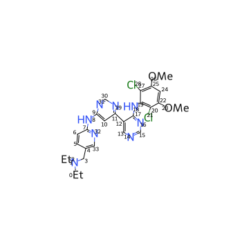 CCN(CC)Cc1ccc(Nc2cc(-c3cncnc3Nc3c(Cl)c(OC)cc(OC)c3Cl)ncn2)nc1